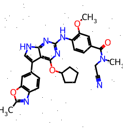 COc1cc(C(=O)N(C)CC#N)ccc1Nc1nc(OC2CCCC2)c2c(-c3ccc4nc(C)oc4c3)c[nH]c2n1